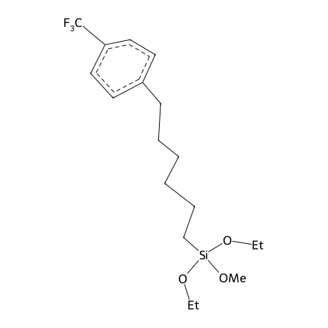 CCO[Si](CCCCCCc1ccc(C(F)(F)F)cc1)(OC)OCC